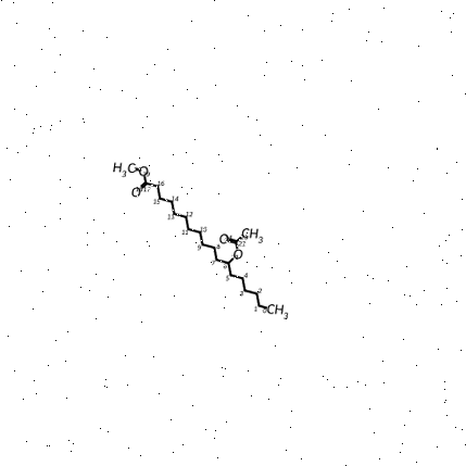 CCCCCCC(CCCCCCCCCCC(=O)OC)OC(C)=O